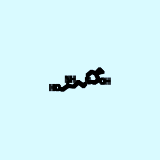 N[C@H](CO)CCCN1CCC2(CC2)[C@H](O)C1